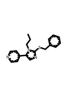 CCCn1c(-c2ccncc2)cnc1SCc1ccccc1